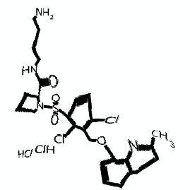 Cc1ccc2cccc(OCc3c(Cl)ccc(S(=O)(=O)N4CCC[C@H]4C(=O)NCCCCN)c3Cl)c2n1.Cl.Cl